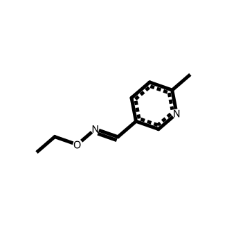 CCO/N=C/c1ccc(C)nc1